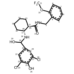 O=C(NCc1ccccc1OC(F)(F)F)[C@@H]1CCCC[C@H]1NC(O)c1cc(Cl)c(O)c(Cl)n1